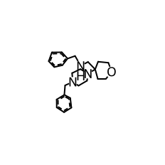 c1ccc(CNCC2(N3CCN(Cc4ccccc4)CC3)CCOCC2)cc1